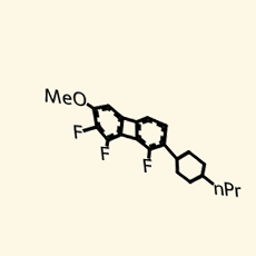 CCCC1CCC(c2ccc3c(c2F)-c2c-3cc(OC)c(F)c2F)CC1